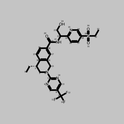 CC[C@H]1CN(c2ncc(C(F)(F)F)cn2)Cc2cc(C(=O)NC(CO)c3ccc(S(=O)(=O)CC)cn3)ccc21